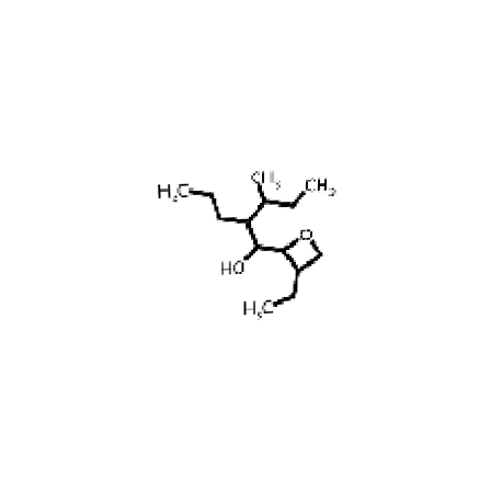 CCCC(C(C)CC)C(O)C1OCC1CC